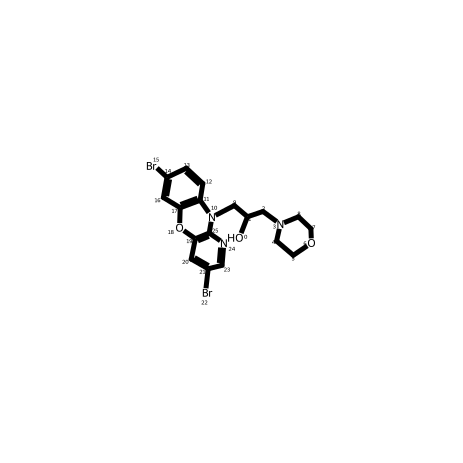 OC(CN1CCOCC1)CN1c2ccc(Br)cc2Oc2cc(Br)cnc21